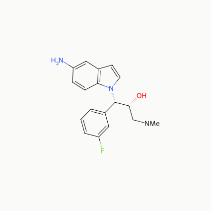 CNC[C@@H](O)[C@H](c1cccc(F)c1)n1ccc2cc(N)ccc21